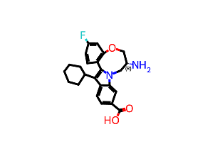 N[C@H]1COc2cc(F)ccc2-c2c(C3CCCCC3)c3ccc(C(=O)O)cc3n2C1